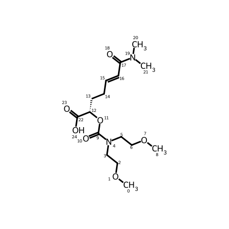 COCCN(CCOC)C(=O)O[C@@H](CC/C=C/C(=O)N(C)C)C(=O)O